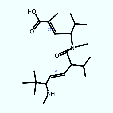 CNC(/C=C/C(C(=O)N(C)C(/C=C(\C)C(=O)O)C(C)C)C(C)C)C(C)(C)C